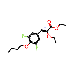 CCCCOc1c(F)cc(/C=C(\OCC)C(=O)OCC)cc1F